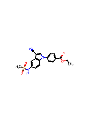 CCOC(=O)c1ccc(-n2cc(C#N)c3cc(NS(C)(=O)=O)ccc32)cc1